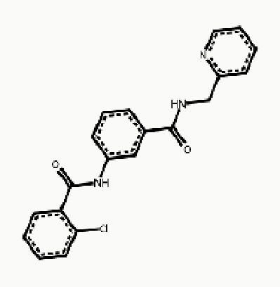 O=C(NCc1ccccn1)c1cccc(NC(=O)c2ccccc2Cl)c1